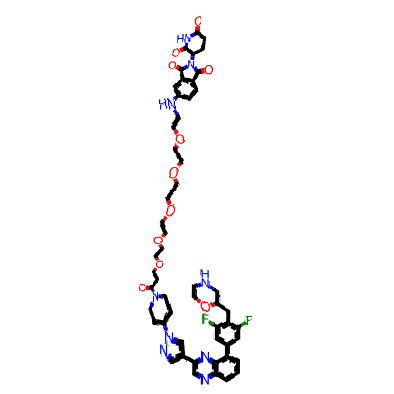 O=C1CCC(N2C(=O)c3ccc(NCCOCCOCCOCCOCCOCCC(=O)N4CCC(n5cc(-c6cnc7cccc(-c8cc(F)c(CC9CNCCO9)c(F)c8)c7n6)cn5)CC4)cc3C2=O)C(=O)N1